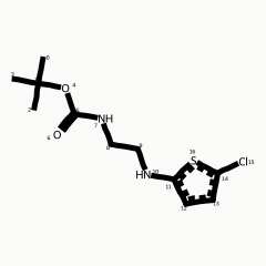 CC(C)(C)OC(=O)NCCNc1ccc(Cl)s1